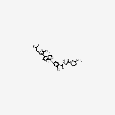 CCc1cc(Nc2nccn3c(-c4cn(CC(F)F)nc4C(F)(F)F)cnc23)ccc1C(=O)NCC(=O)N1CCCC(N)C1